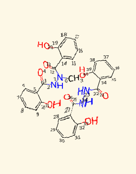 CN(NC(=O)c1ccccc1O)C(=O)c1ccccc1O.O=C(NNC(=O)c1ccccc1O)c1ccccc1O